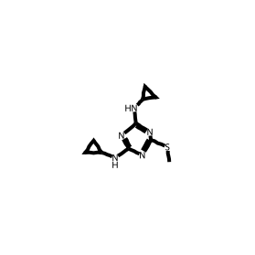 CSc1nc(NC2CC2)nc(NC2CC2)n1